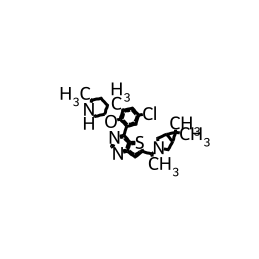 Cc1cc(Cl)cc(-c2ncnc3cc(C(C)N4CC5C(C4)C5(C)C)sc23)c1OC1CCC(C)NC1